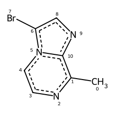 Cc1nccn2c(Br)cnc12